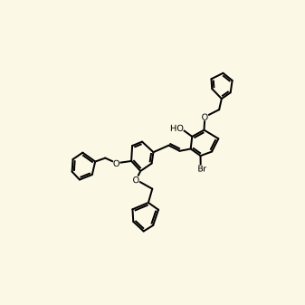 Oc1c(OCc2ccccc2)ccc(Br)c1/C=C/c1ccc(OCc2ccccc2)c(OCc2ccccc2)c1